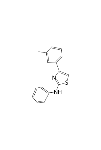 Cc1cccc(-c2csc(Nc3ccccc3)n2)c1